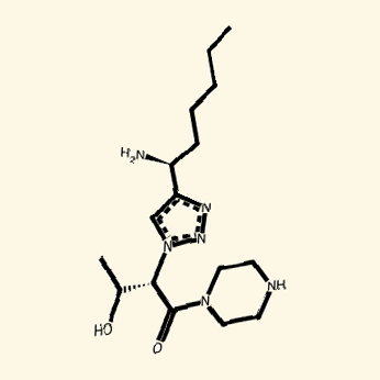 CCCCC[C@H](N)c1cn([C@H](C(=O)N2CCNCC2)C(C)O)nn1